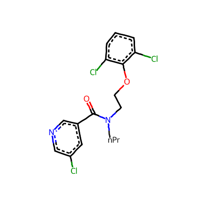 CCCN(CCOc1c(Cl)cccc1Cl)C(=O)c1cncc(Cl)c1